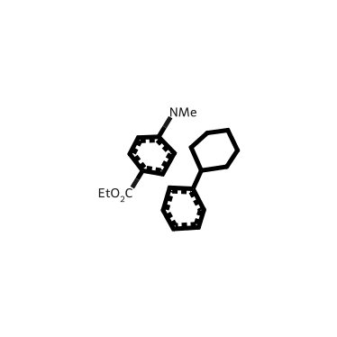 CCOC(=O)c1ccc(NC)cc1.c1ccc(C2CCCCC2)cc1